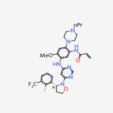 C=CC(=O)Nc1cc(Nc2cc(N3OCC[C@@H]3c3cccc(C(F)(F)F)c3F)ncn2)c(OC)cc1N1CCN(CCC)CC1